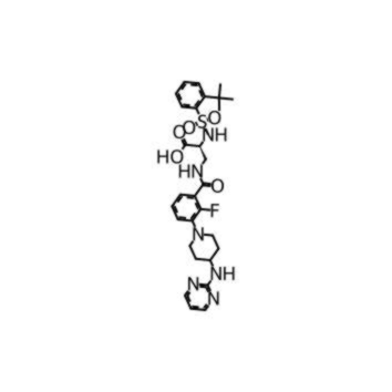 CC(C)(C)c1ccccc1S(=O)(=O)N[C@@H](CNC(=O)c1cccc(N2CCC(Nc3ncccn3)CC2)c1F)C(=O)O